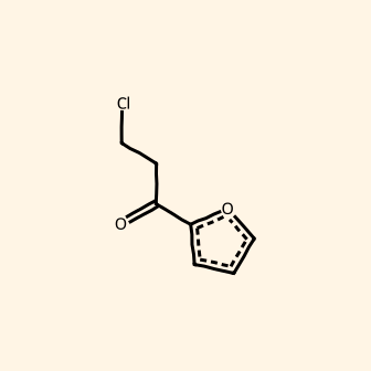 O=C(CCCl)c1ccco1